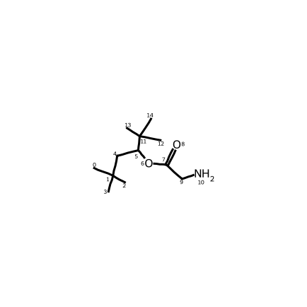 CC(C)(C)CC(OC(=O)CN)C(C)(C)C